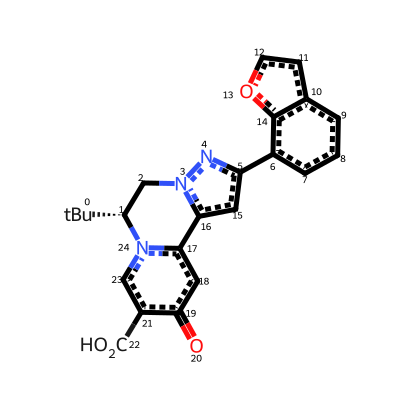 CC(C)(C)[C@@H]1Cn2nc(-c3cccc4ccoc34)cc2-c2cc(=O)c(C(=O)O)cn21